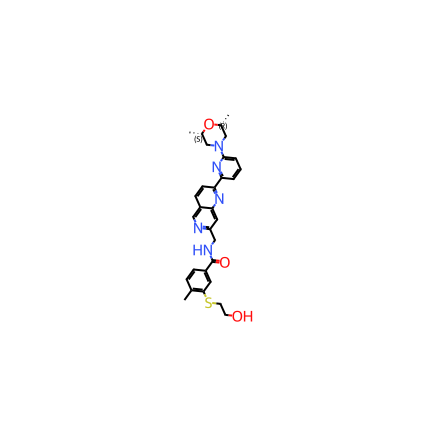 Cc1ccc(C(=O)NCc2cc3nc(-c4cccc(N5C[C@@H](C)O[C@@H](C)C5)n4)ccc3cn2)cc1SCCO